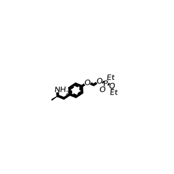 CCOP(=O)(CC)OCOc1ccc(C[C@@H](C)N)cc1